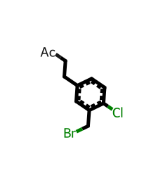 CC(=O)CCc1ccc(Cl)c(CBr)c1